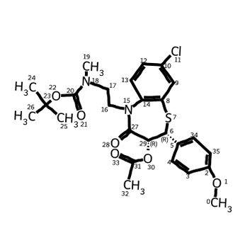 COc1ccc([C@H]2Sc3cc(Cl)ccc3N(CCN(C)C(=O)OC(C)(C)C)C(=O)[C@H]2OC(C)=O)cc1